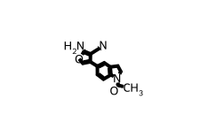 CC(=O)N1CCc2cc(-c3coc(N)c3C#N)ccc21